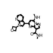 CNC(=O)c1cnn2c(NC)cc(-c3cn(C4COC4)c4ncccc34)nc12